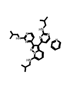 CC(C)CNc1nccc(-c2nn3c(NCC(C)C)cccc3c2-c2ccnc(NCC(C)C)n2)n1.c1ccncc1